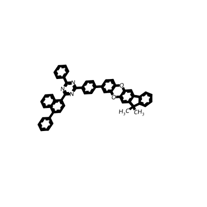 CC1(C)c2ccccc2-c2cc3c(cc21)Oc1cc(-c2ccc(-c4nc(-c5ccccc5)nc(-c5ccc(-c6ccccc6)c6ccccc56)n4)cc2)ccc1O3